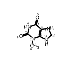 Cn1c2c(c(=O)[nH]c1=O)NCN2